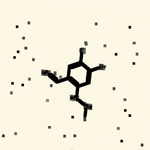 N=Cc1cc(Cl)c(Br)cc1NPI